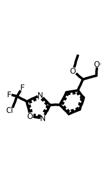 COC(C[O])c1cccc(-c2noc(C(F)(F)Cl)n2)c1